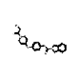 CC(C)CC(=O)N1CCC(Oc2ccc(NC(=O)N3Cc4ccccc4C3)cc2)CC1